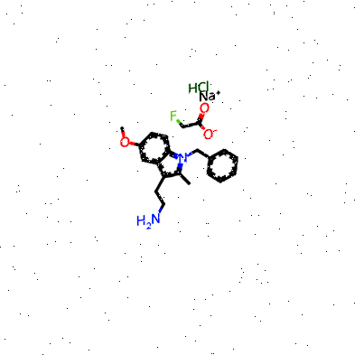 COc1ccc2c(c1)c(CCN)c(C)n2Cc1ccccc1.Cl.O=C([O-])CF.[Na+]